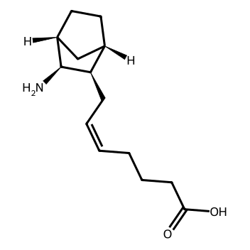 N[C@H]1[C@@H]2CC[C@@H](C2)[C@H]1C/C=C\CCCC(=O)O